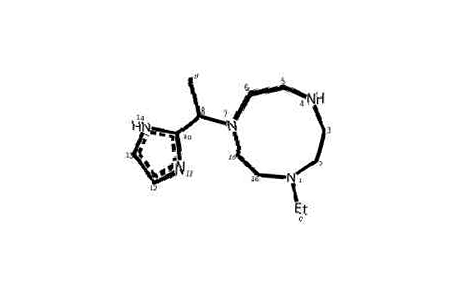 CCN1CCNCCN(C(C)c2ncc[nH]2)CC1